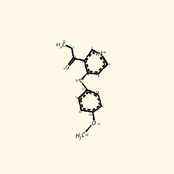 CCC(=O)c1cnccc1Sc1ccc(OC)cc1